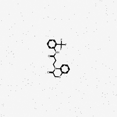 O=C(CCN1C(=O)CSc2ccccc21)Nc1ccccc1C(F)(F)F